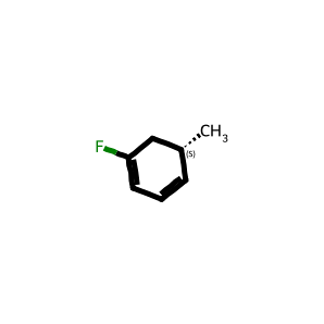 C[C@@H]1C=CC=C(F)C1